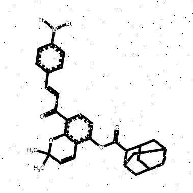 CCN(CC)c1ccc(C=CC(=O)c2ccc(OC(=O)C3C4CC5CC(C4)CC3C5)c3c2OC(C)(C)C=C3)cc1